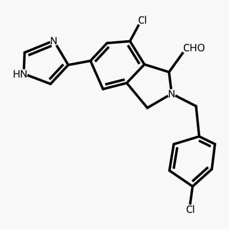 O=CC1c2c(Cl)cc(-c3c[nH]cn3)cc2CN1Cc1ccc(Cl)cc1